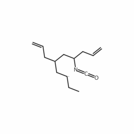 C=CCC(C[CH]CC)CC(CC=C)N=C=O